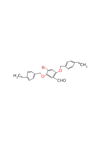 C=Cc1ccc(COc2cc(C=O)c(OCc3ccc(C=C)cc3)cc2Br)cc1